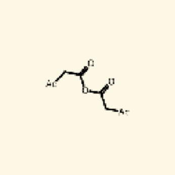 CC(=O)CC(=O)OC(=O)CC(C)=O